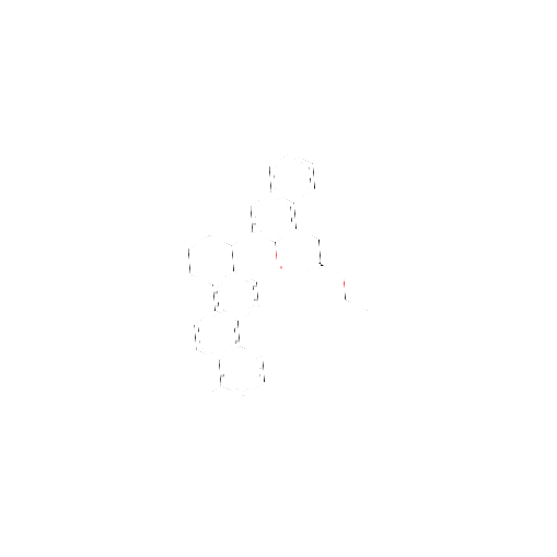 CCOC(=O)Cc1c(O)c(C2CCCc3c2ccc2c3ccc3c(F)cccc32)cc2ccccc12